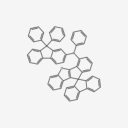 c1ccc(N(c2ccc3c(c2)C(c2ccccc2)(c2ccccc2)c2ccccc2-3)c2cccc3c2-c2oc4ccccc4c2C32c3ccccc3-c3ccccc32)cc1